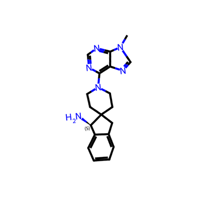 Cn1cnc2c(N3CCC4(CC3)Cc3ccccc3[C@H]4N)ncnc21